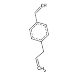 [CH]=Cc1ccc(CC=C)cc1